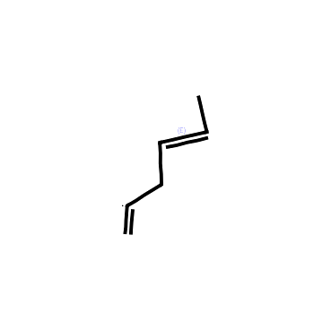 C=[C]C/C=C/C